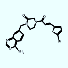 Nc1ncnc2cc(CN3CCN(C(=O)C=Cc4ccc(Br)s4)CC3=O)ccc12